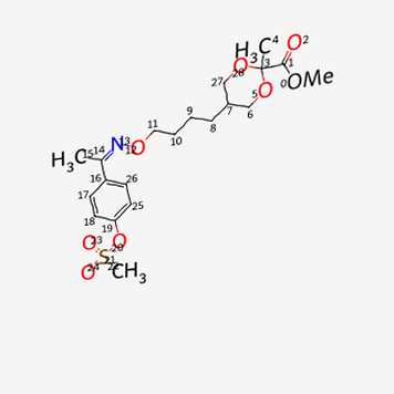 COC(=O)C1(C)OCC(CCCCON=C(C)c2ccc(OS(C)(=O)=O)cc2)CO1